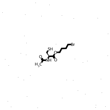 CC(=O)N[C@@H](CS)C(=O)OCCCCBr